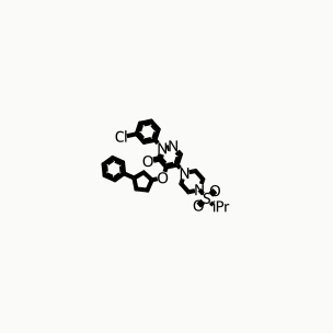 CC(C)S(=O)(=O)N1CCN(c2cnn(-c3cccc(Cl)c3)c(=O)c2OC2CCC(c3ccccc3)C2)CC1